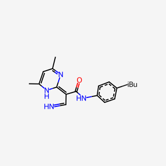 CCC(C)c1ccc(NC(=O)/C(C=N)=C2\N=C(C)C=C(C)N2)cc1